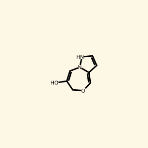 OC1=CN2NC=CC2=COC1